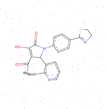 COc1ncccc1C1C(C(=O)C(C)(C)C)=C(O)C(=O)N1c1ccc(C2=NCCS2)cc1